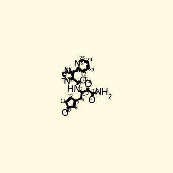 NC(=O)C(=O)C(CC1=CC(=O)C=C1)NC(=O)c1nsnc1-c1ccccn1